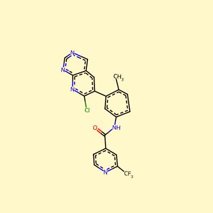 Cc1ccc(NC(=O)c2ccnc(C(F)(F)F)c2)cc1-c1cc2cncnc2nc1Cl